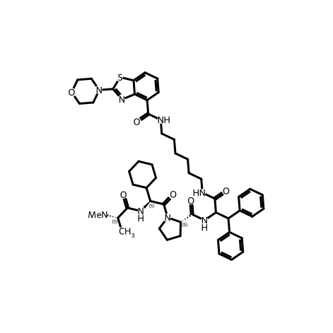 CN[C@@H](C)C(=O)N[C@H](C(=O)N1CCC[C@H]1C(=O)NC(C(=O)NCCCCCCNC(=O)c1cccc2sc(N3CCOCC3)nc12)C(c1ccccc1)c1ccccc1)C1CCCCC1